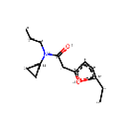 CCCN(C(=O)Cc1ccc(CC)o1)C1CC1